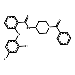 O=C(NC1CCN(C(=O)c2ccccc2)CC1)c1ccccc1Oc1ccc(Cl)cc1Cl